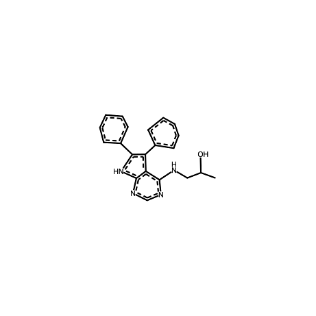 CC(O)CNc1ncnc2[nH]c(-c3ccccc3)c(-c3ccccc3)c12